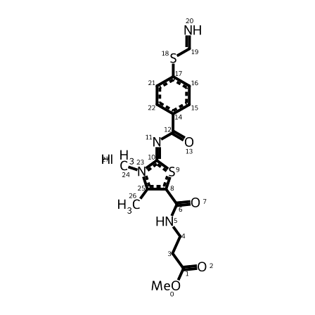 COC(=O)CCNC(=O)c1sc(=NC(=O)c2ccc(SC=N)cc2)n(C)c1C.I